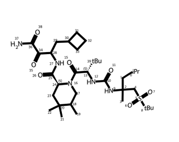 CC(C)CC(C)(CS(=O)(=O)C(C)(C)C)NC(=O)N[C@H](C(=O)N1CC(C)C(C)(C)C[C@H]1C(=O)NC(CC1CCC1)C(=O)C(N)=O)C(C)(C)C